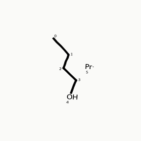 CCCCO.[Pr]